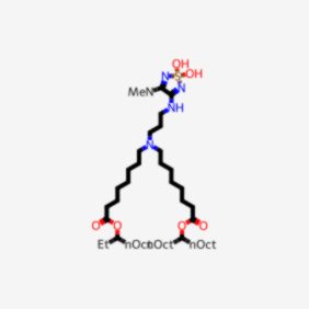 CCCCCCCCC(CC)OC(=O)CCCCCCCN(CCCCCCCC(=O)OC(CCCCCCCC)CCCCCCCC)CCCNC1=NS(O)(O)N=C1NC